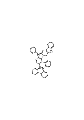 c1ccc(-n2c3cc4c(cc3c3c5c(ccc32)B2c3ccccc3-c3ccccc3N2c2ccccc2-5)oc2ccccc24)cc1